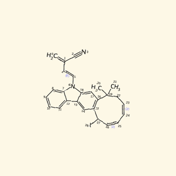 C=C(C#N)/C=C/n1c2ccccc2c2cc3c(cc21)C(C)(C)C/C=C\C=C/C3I